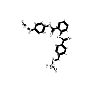 O=C(Oc1ccccc1C(=O)Oc1ccc(N=C=S)cc1)c1ccc(CO[N+](=O)[O-])cc1